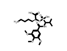 COc1cc(C(=O)NC(C(C)C)P(=O)(O)O[C@@H](CCCCN)C(=O)O)cc(OC)c1OC